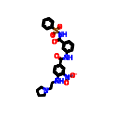 O=C(Nc1cccc(C(=O)NS(=O)(=O)c2ccccc2)c1)c1ccc(NCCN2CCCC2)c([N+](=O)[O-])c1